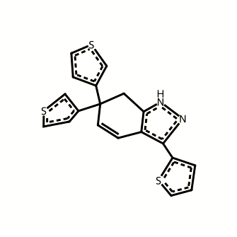 C1=CC(c2ccsc2)(c2ccsc2)Cc2[nH]nc(-c3cccs3)c21